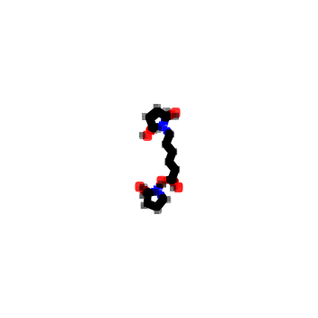 O=C(CCCCCN1C(=O)C=CC1=O)ON1CCCC1=O